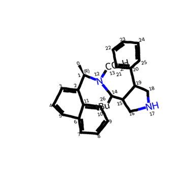 C[C@H](c1cccc2ccccc12)N(C(=O)O)C(C1CNCC1c1ccccc1)C(C)(C)C